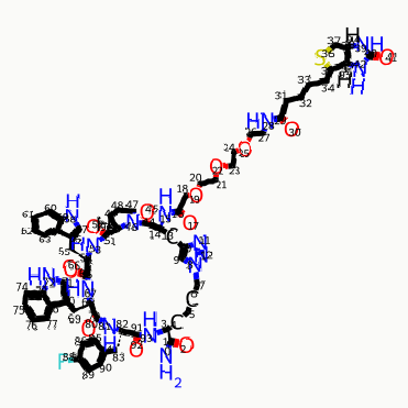 NC(=O)[C@@H]1CCCCn2cc(nn2)C[C@H](NC(=O)COCCOCCOCCNC(=O)CCCCC2SC[C@H]3NC(=O)N[C@@H]23)C(=O)N2CCC[C@@H]2C(=O)N[C@H](Cc2c[nH]c3ccccc23)C(=O)N[C@H](Cc2c[nH]c3ccccc23)C(=O)N[C@@H](Cc2ccc(F)cc2)C(=O)N1